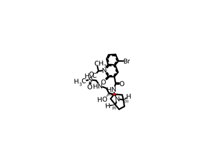 CC(C)n1c(=O)c(C(=O)N[C@@H]2C[C@H]3CC[C@@H](C2)N3C[C@H](O)CNCS(C)(=O)=O)cc2c(Br)cccc21